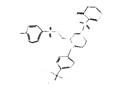 CC(O)(c1ccc(N2CCN(S(=O)(=O)C3=CC=CCC3=S)C[C@@H]2CNS(=O)(=O)c2ccc(F)cc2)cc1)C(F)(F)F